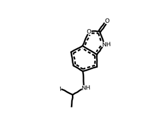 CC(I)Nc1ccc2oc(=O)[nH]c2c1